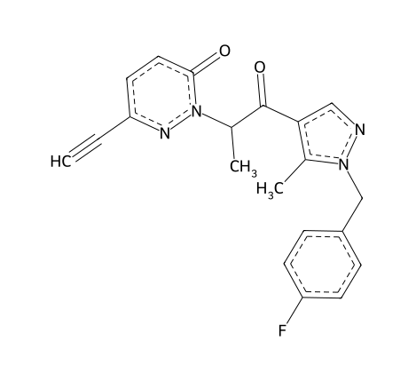 C#Cc1ccc(=O)n(C(C)C(=O)c2cnn(Cc3ccc(F)cc3)c2C)n1